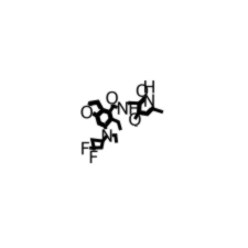 CCc1c(N(CC)C2CC(F)(F)C2)cc2occc2c1C(=O)NCc1c(OC)cc(C)[nH]c1=O